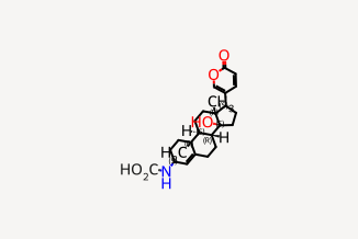 C[C@]12CC[C@H](NC(=O)O)C=C1CC[C@@H]1[C@@H]2CC[C@]2(C)[C@@H](c3ccc(=O)oc3)CC[C@]12O